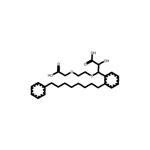 O=C(O)COCCSC(c1ccccc1CCCCCCCCc1ccccc1)C(O)C(=O)O